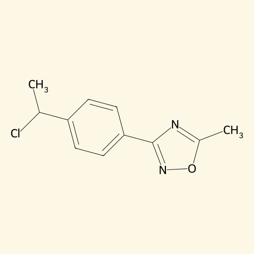 Cc1nc(-c2ccc(C(C)Cl)cc2)no1